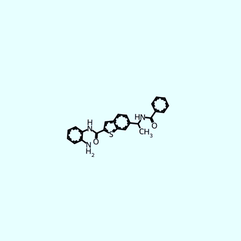 CC(NC(=O)c1ccccc1)c1ccc2cc(C(=O)Nc3ccccc3N)sc2c1